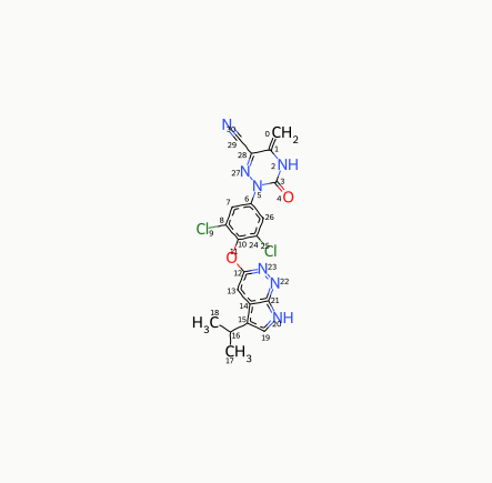 C=C1NC(=O)N(c2cc(Cl)c(Oc3cc4c(C(C)C)c[nH]c4nn3)c(Cl)c2)N=C1C#N